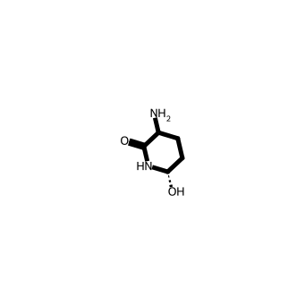 NC1CC[C@H](O)NC1=O